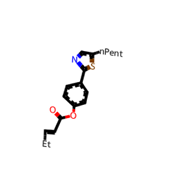 CC/C=C/C(=O)Oc1ccc(-c2ncc(CCCCC)s2)cc1